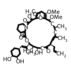 C=CC[C@@H]1/C=C(\C)C[C@H](C)C[C@H](OC)[C@H]2O[C@@](O)(C(=O)C(=O)N3CCCC[C@H]3C(=O)O[C@H](/C(C)=C/[C@@H]3CC[C@@H](O)[C@H](O)C3)[C@H](C)[C@@H](O)CC1=O)[C@H](C)C[C@@H]2OC